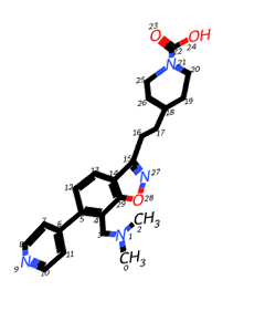 CN(C)Cc1c(-c2ccncc2)ccc2c(CCC3CCN(C(=O)O)CC3)noc12